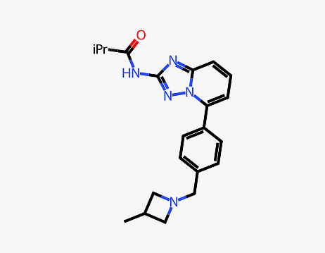 CC1CN(Cc2ccc(-c3cccc4nc(NC(=O)C(C)C)nn34)cc2)C1